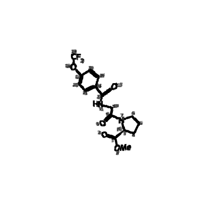 COC(=O)[C@@H]1CCCN1C(=O)CNC(=O)c1ccc(OC(F)(F)F)cc1